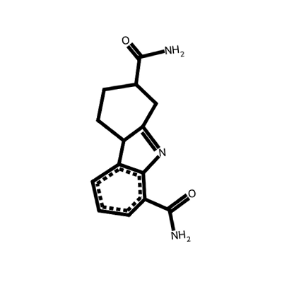 NC(=O)c1cccc2c1N=C1CC(C(N)=O)CCC12